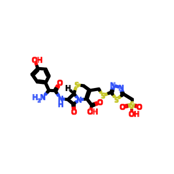 NC(C(=O)NC1C(=O)N2C(C(=O)O)=C(CSc3nnc(CS(=O)(=O)O)s3)CS[C@@H]12)c1ccc(O)cc1